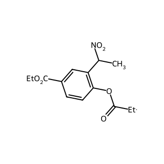 C[CH]C(=O)Oc1ccc(C(=O)OCC)cc1C(C)[N+](=O)[O-]